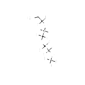 OCC(F)(F)OC(F)(F)C(F)(F)OC(F)(F)C(F)(F)OC(F)(F)C(F)(F)F